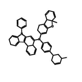 CC1C=CCC(c2ccc(N(C3=CC4=C(CC3)C3C=CC=CC3(C)O4)C3=Cc4c(c5c(n4-c4ccccc4)=CCCC=5)C4C=CC=CC34)cc2)C1